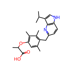 Cc1cc(OC(C)C(=O)O)c(C)c(C)c1Cc1ccc2[nH]cc(C(C)C)c2n1